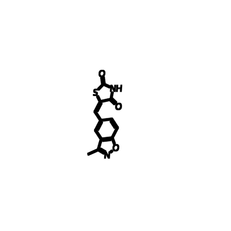 Cc1noc2ccc(/C=C3/SC(=O)NC3=O)cc12